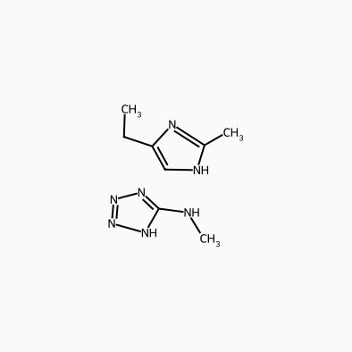 CCc1c[nH]c(C)n1.CNc1nnn[nH]1